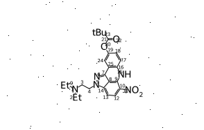 CCN(CC)CCn1nc2c3c(c([N+](=O)[O-])ccc31)Nc1ccc(OC(=O)C(C)(C)C)cc1-2